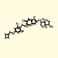 O[C@@H]1CO[C@H]2[C@@H]1OC[C@H]2Oc1nc2nc(NCc3c(F)cc(OCC4CCC4)cc3F)c(Cl)cc2[nH]1